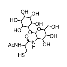 CC(=O)NC(CS)C(=O)NC1C(OC2C(O)C(O)C(O)C(O)C2O)OC(CO)C(O)C1O